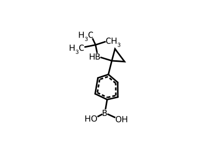 CC(C)(C)BC1(c2ccc(B(O)O)cc2)CC1